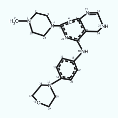 CN1CCN(c2cc3c(c(Nc4ccc(N5CCOCC5)cc4)n2)CNC=N3)CC1